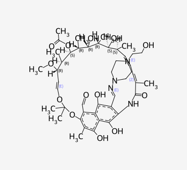 CO[C@H]1/C=C/OC(C)(C)Oc2c(C)c(O)c3c(O)c(c(/C=N/N4CCN(CCO)CC4)c(O)c3c2C=O)NC(=O)/C(C)=C\C=C\[C@H](C)[C@H](O)[C@@H](C)[C@@H](O)[C@@H](C)[C@H](OC(C)=O)[C@@H]1C